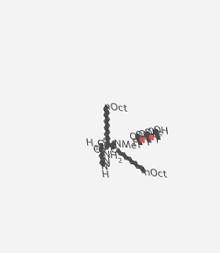 CCCCCCCC/C=C/CCCCCCCCOC(CNC)C(CN(C)C(=O)C(N)Cc1c[nH]cn1)OCCCCCCCC/C=C/CCCCCCCC.O=C(O)C(F)(F)F.O=C(O)C(F)(F)F.O=C(O)C(F)(F)F